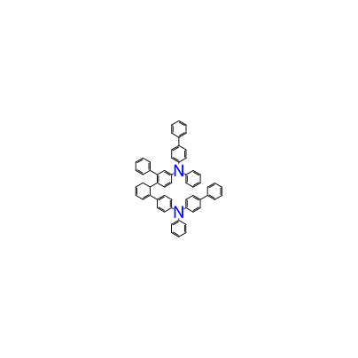 C1=CCC(c2ccc(N(c3ccccc3)c3ccc(-c4ccccc4)cc3)cc2-c2ccccc2)C(c2ccc(N(c3ccccc3)c3ccc(-c4ccccc4)cc3)cc2)=C1